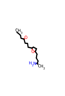 C=C(N)CCCC1CCC(CCCC(=O)CCCC)O1